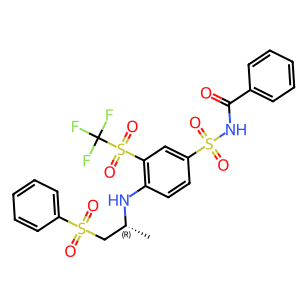 C[C@H](CS(=O)(=O)c1ccccc1)Nc1ccc(S(=O)(=O)NC(=O)c2ccccc2)cc1S(=O)(=O)C(F)(F)F